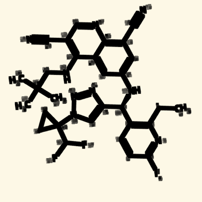 CCc1nc(F)ccc1[C@H](Nc1cc(C#N)c2ncc(C#N)c(NCC(C)(C)C)c2c1)c1cn(C2(C(F)F)CC2)nn1